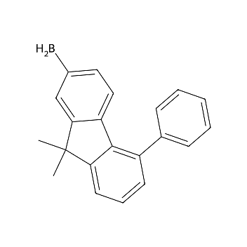 Bc1ccc2c(c1)C(C)(C)c1cccc(-c3ccccc3)c1-2